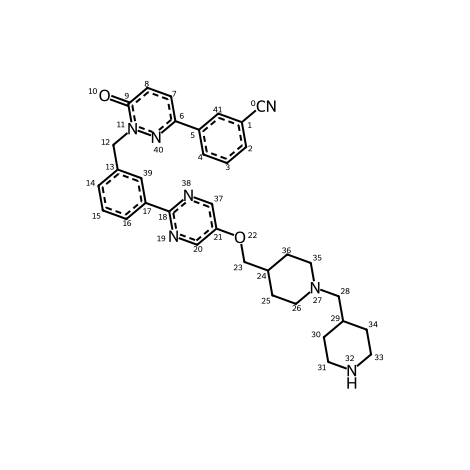 N#Cc1cccc(-c2ccc(=O)n(Cc3cccc(-c4ncc(OCC5CCN(CC6CCNCC6)CC5)cn4)c3)n2)c1